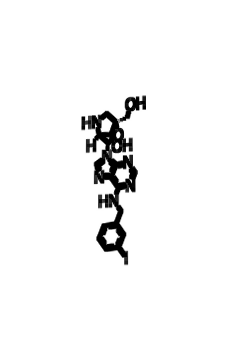 OC[C@@]12CN[C@H](C1O)[C@H](n1cnc3c(NCc4cccc(I)c4)ncnc31)O2